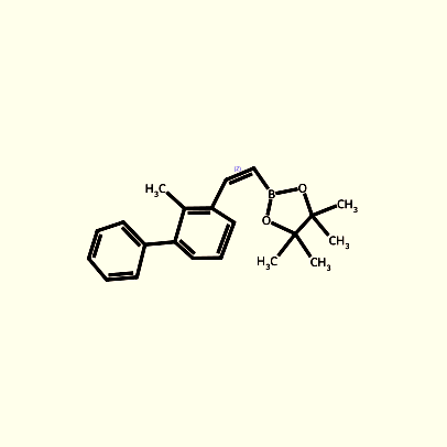 Cc1c(/C=C\B2OC(C)(C)C(C)(C)O2)cccc1-c1ccccc1